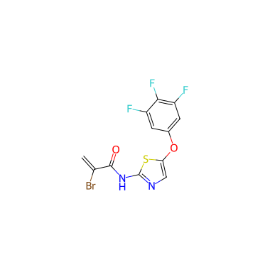 C=C(Br)C(=O)Nc1ncc(Oc2cc(F)c(F)c(F)c2)s1